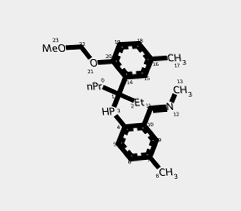 CCCC(CC)(Pc1ccc(C)cc1/C=N/C)c1cc(C)ccc1OCOC